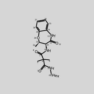 CCCCCCNC(=O)C(C)(C)C(=O)N[C@@H]1C(=O)Nc2ccccc2O[C@@H]1C